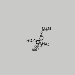 CCOC(=O)NCCO[C@H]1CCCN([C@@H]2C=C(C(=O)O)C[C@H](NC(=O)OC(C)(C)C)[C@H]2NC(C)=O)C1